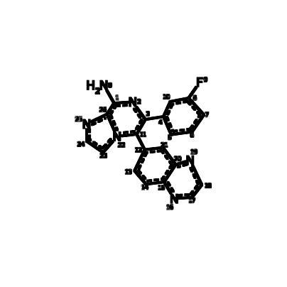 Nc1nc(-c2cccc(F)c2)c(-c2ccc3nccnc3c2)n2ccnc12